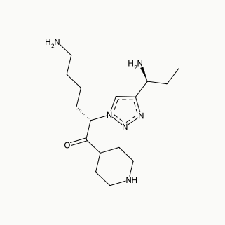 CC[C@H](N)c1cn([C@@H](CCCCN)C(=O)C2CCNCC2)nn1